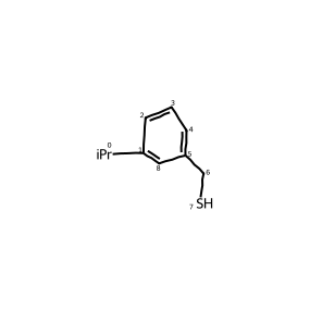 CC(C)c1cccc(CS)c1